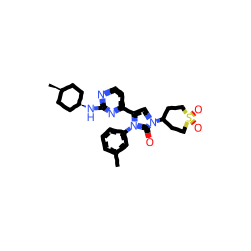 Cc1cccc(-n2c(-c3ccnc(N[C@H]4CC[C@H](C)CC4)n3)cn(C3CCS(=O)(=O)CC3)c2=O)c1